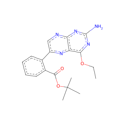 CCOc1nc(N)nc2ncc(-c3ccccc3C(=O)OC(C)(C)C)nc12